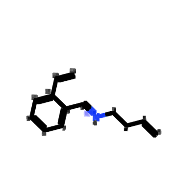 C=CCC/N=C/c1ccccc1C=C